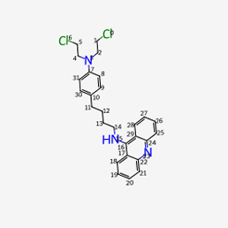 ClCCN(CCCl)c1ccc(CCCCNc2c3ccccc3nc3ccccc23)cc1